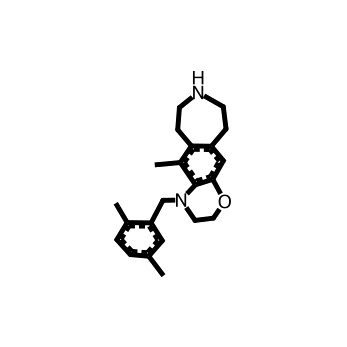 Cc1ccc(C)c(CN2CCOc3cc4c(c(C)c32)CCNCC4)c1